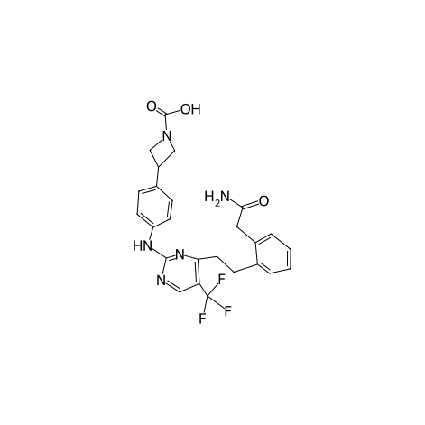 NC(=O)Cc1ccccc1CCc1nc(Nc2ccc(C3CN(C(=O)O)C3)cc2)ncc1C(F)(F)F